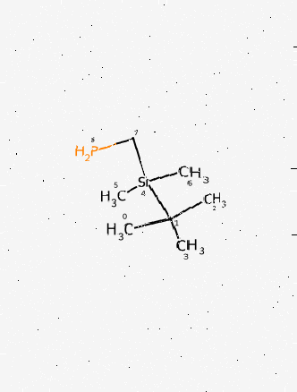 CC(C)(C)[Si](C)(C)CP